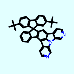 CC(C)(C)c1ccc2c(c1)C1(c3cc(C(C)(C)C)ccc3-2)c2ccccc2-c2c1cc1c3ccncc3n3c4cnccc4c2c13